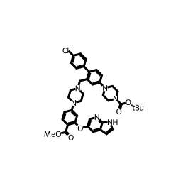 COC(=O)c1ccc(N2CCN(Cc3cc(N4CCN(C(=O)OC(C)(C)C)CC4)ccc3-c3ccc(Cl)cc3)CC2)cc1Oc1cnc2[nH]ccc2c1